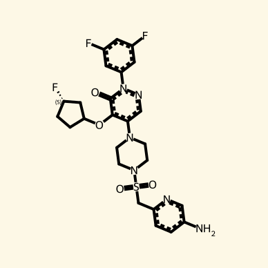 Nc1ccc(CS(=O)(=O)N2CCN(c3cnn(-c4cc(F)cc(F)c4)c(=O)c3OC3CC[C@H](F)C3)CC2)nc1